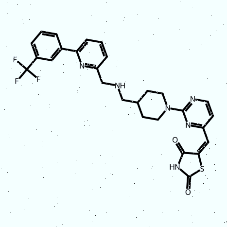 O=C1NC(=O)/C(=C\c2ccnc(N3CCC(CNCc4cccc(-c5cccc(C(F)(F)F)c5)n4)CC3)n2)S1